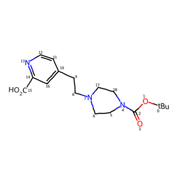 CC(C)(C)OC(=O)N1CCN(CCc2ccnc(C(=O)O)c2)CC1